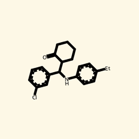 CCc1ccc(NC(c2cccc(Cl)c2)C2CCCCC2=O)cc1